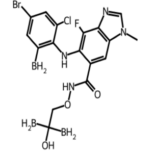 Bc1cc(Br)cc(Cl)c1Nc1c(C(=O)NOCC(B)(B)O)cc2c(ncn2C)c1F